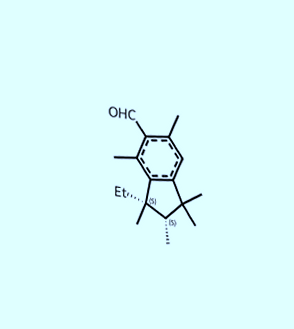 CC[C@]1(C)c2c(cc(C)c(C=O)c2C)C(C)(C)[C@@H]1C